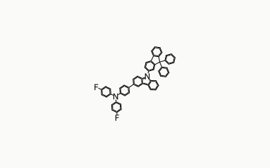 Fc1ccc(N(c2ccc(F)cc2)c2ccc(-c3ccc4c(c3)c3ccccc3n4-c3ccc4c(c3)C(c3ccccc3)(c3ccccc3)c3ccccc3-4)cc2)cc1